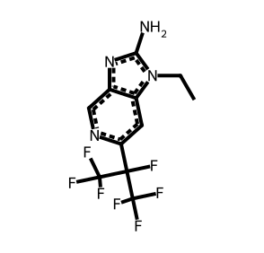 CCn1c(N)nc2cnc(C(F)(C(F)(F)F)C(F)(F)F)cc21